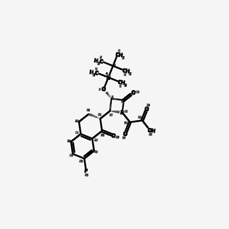 CC(C)(C)[Si](C)(C)O[C@@H]1C(=O)N(C(=O)C(=O)O)[C@@H]1[C@H]1CCc2ccc(F)cc2C1=O